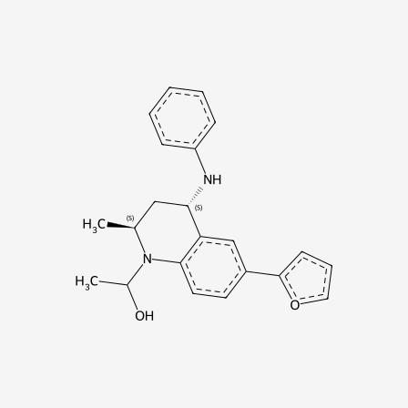 CC(O)N1c2ccc(-c3ccco3)cc2[C@@H](Nc2ccccc2)C[C@@H]1C